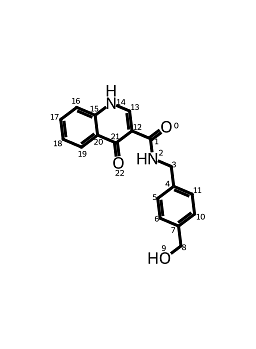 O=C(NCc1ccc(CO)cc1)c1c[nH]c2ccccc2c1=O